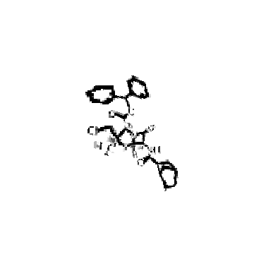 C[C@@]1(CCl)S[C@H]2[C@H](NC(=O)C3CC4CCC3C4)C(=O)N2[C@H]1C(=O)OC(c1ccccc1)c1ccccc1